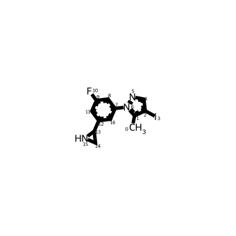 Cc1c(I)cnn1-c1cc(F)cc(C2CN2)c1